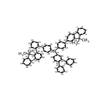 CC1(C)c2ccccc2-c2ccc(-c3ccc(N(c4ccc(-c5ccccc5-c5cccc6c5C(C)(C)c5ccccc5-6)cc4)c4ccc(-c5ccccc5)c(-c5ccccc5)c4)cc3)cc21